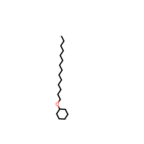 [CH2]CCCCCCCCCCCCCOC1CC[CH]CC1